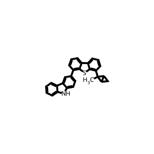 CC1(c2cccc3c2sc2c(-c4ccc5[nH]c6ccccc6c5c4)cccc23)C2CC21